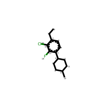 CCc1ccc(C2CCC(C)CC2)c(F)c1Cl